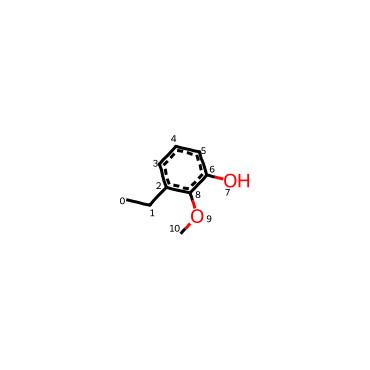 CCc1cccc(O)c1OC